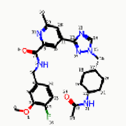 COc1cc(CNC(=O)c2cc(-c3ncn(C[C@H]4CC[C@H](NC(C)=O)CC4)n3)cc(C)n2)ccc1F